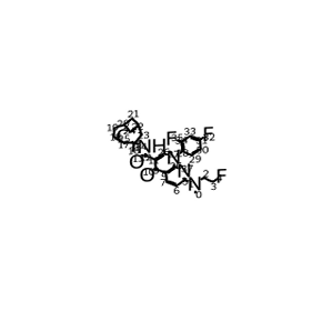 CN(CCF)c1ccc2c(=O)c(C(=O)NC3(C)CC4CC5CC(C3)C5C4)cn(-c3ccc(F)cc3F)c2n1